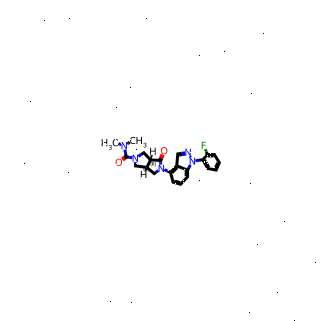 CN(C)C(=O)N1C[C@H]2CN(c3cccc4c3cnn4-c3ccccc3F)C(=O)[C@H]2C1